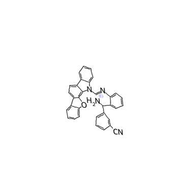 N#Cc1cccc(C(N)c2ccccc2/N=C/n2c3ccccc3c3ccc4c5ccccc5oc4c32)c1